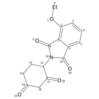 CCOc1cccc2c1C(=O)N(C1CCC(=O)CC1=O)C2=O